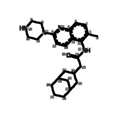 Cc1ccc2nc(N3CCNCC3)ccc2c1NC(=O)CC1CC2CCCC(C2)C1